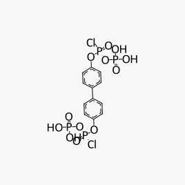 O=P(O)(O)OP(=O)(Cl)Oc1ccc(-c2ccc(OP(=O)(Cl)OP(=O)(O)O)cc2)cc1